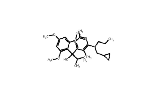 CCCN(CC1CC1)c1nc(C)nc(C(O)(c2c(OC)cc(OC)cc2OC)C(C)C)c1C